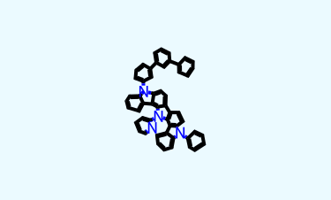 c1ccc(-c2cccc(-c3cccc(-n4c5ccccc5c5c4ccc4c6ccc7c(c8ccccc8n7-c7ccccc7)c6n(-c6ccccn6)c45)c3)c2)cc1